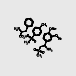 CCOc1cc(C(N)CS(C)(=O)=O)ccc1OC.Cc1ccc(S(N)(=O)=O)cc1.NC(Cc1ccccc1)C(=O)O